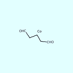 O=CCCCC=O.[Co]